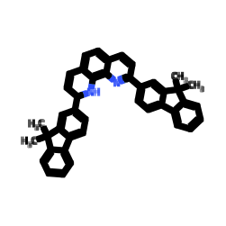 CC1(C)c2ccccc2-c2ccc(-c3ccc4ccc5c(c4n3)NC(c3ccc4c(c3)C(C)(C)c3ccccc3-4)C=C5)cc21